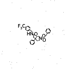 O=C(CC1(c2ccccc2)CCN(C(=O)OCc2ccccc2)CC1)NCc1ccc(C(F)(F)F)cc1